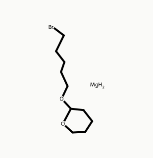 BrCCCCCOC1CCCCO1.[MgH2]